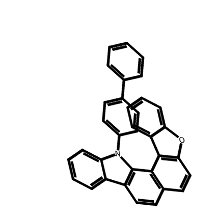 c1ccc(-c2ccc(-n3c4ccccc4c4ccc5ccc6oc7ccccc7c6c5c43)cc2)cc1